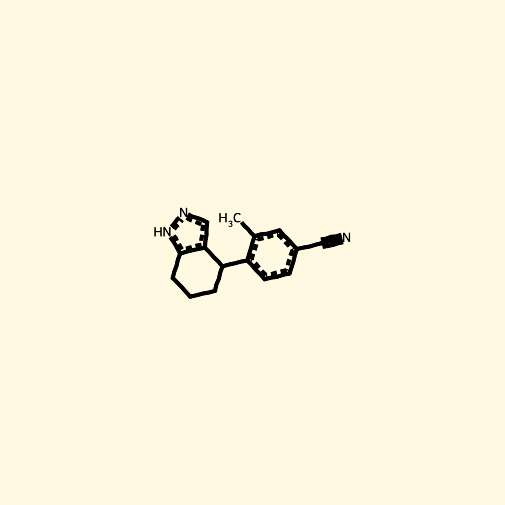 Cc1cc(C#N)ccc1C1CCCc2[nH]ncc21